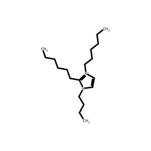 CCCCCCc1n(CCCC)cc[n+]1CCCCCC